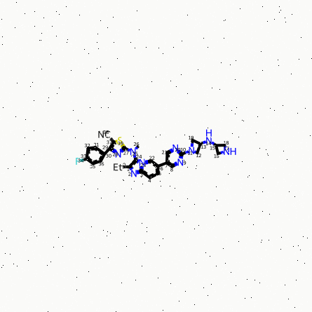 CCc1nc2ccc(-c3cnc(N4CC(NC5CNC5)C4)nc3)cn2c1N(C)c1nc(-c2ccc(F)cc2)c(C#N)s1